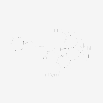 CCCCCc1cc(OC(=O)CCCN2CCOCC2)c2c(c1)OC(C)(C)[C@@H]1CCC(C)=C[C@@H]21